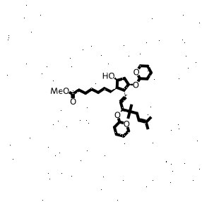 COC(=O)CCCCCC[C@@H]1[C@@H](C=C[C@@H](OC2CCCCO2)C(C)(C)CC=C(C)C)[C@H](OC2CCCCO2)C[C@@H]1O